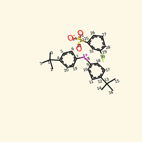 CC(C)(C)c1ccc([I+]c2ccc(C(C)(C)C)cc2)cc1.O=S(=O)([O-])c1cccc(F)c1